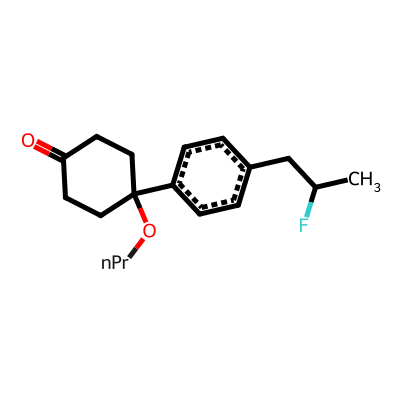 CCCOC1(c2ccc(CC(C)F)cc2)CCC(=O)CC1